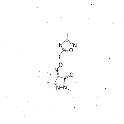 CC1=NN(C)C(=O)C1=NOCc1nc(C)no1